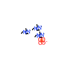 CC[n+]1ccn(C)c1C.CC[n+]1ccn(C)c1C.CC[n+]1ccn(C)c1C.O=P([O-])([O-])[O-]